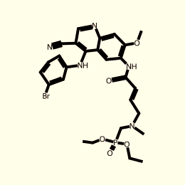 CCOP(=O)(CN(C)C/C=C/C(=O)Nc1cc2c(Nc3cccc(Br)c3)c(C#N)cnc2cc1OC)OCC